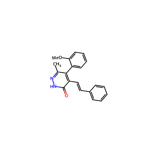 COc1ccccc1-c1c(C)n[nH]c(=O)c1C=Cc1ccccc1